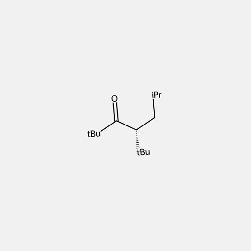 CC(C)C[C@@H](C(=O)C(C)(C)C)C(C)(C)C